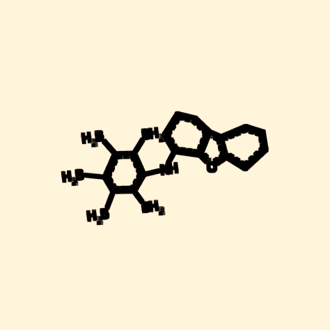 Bc1c(B)c(B)c(Nc2cccc3c2oc2ccccc23)c(B)c1B